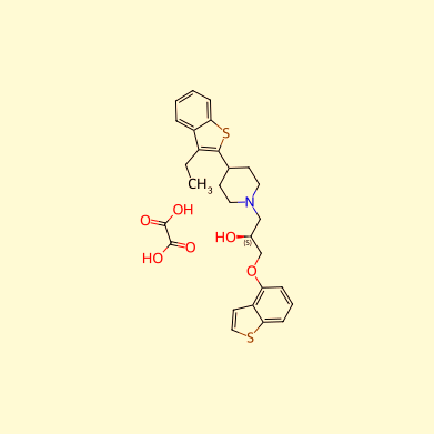 CCc1c(C2CCN(C[C@H](O)COc3cccc4sccc34)CC2)sc2ccccc12.O=C(O)C(=O)O